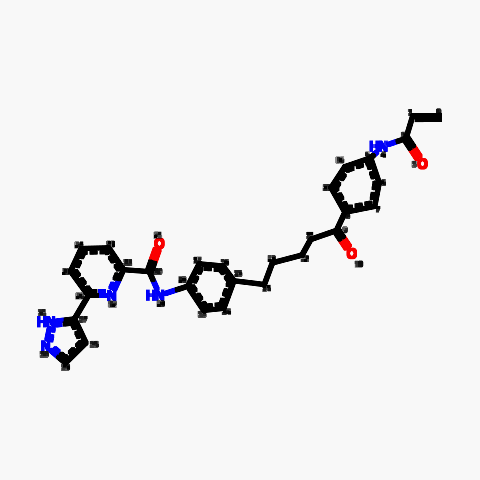 C=CC(=O)Nc1ccc(C(=O)CCCCc2ccc(NC(=O)c3cccc(-c4ccn[nH]4)n3)cc2)cc1